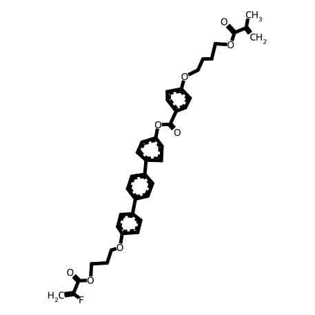 C=C(C)C(=O)OCCCCOc1ccc(C(=O)Oc2ccc(-c3ccc(-c4ccc(OCCCOC(=O)C(=C)F)cc4)cc3)cc2)cc1